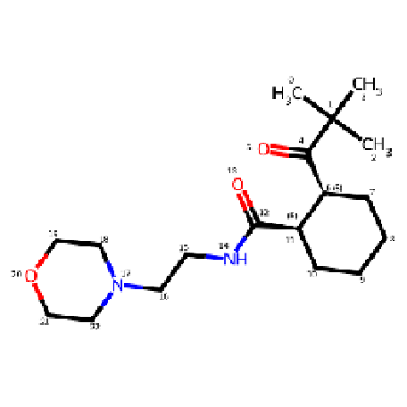 CC(C)(C)C(=O)[C@H]1CCCC[C@H]1C(=O)NCCN1CCOCC1